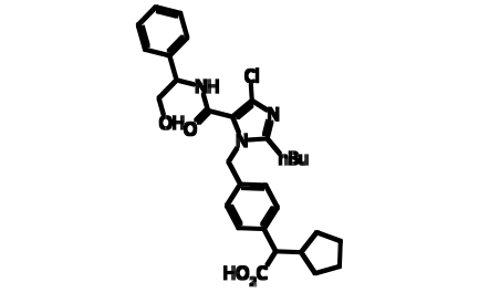 CCCCc1nc(Cl)c(C(=O)NC(CO)c2ccccc2)n1Cc1ccc(C(C(=O)O)C2CCCC2)cc1